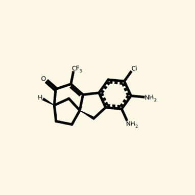 Nc1c(Cl)cc2c(c1N)C[C@@]13CC[C@@H](C1)C(=O)C(C(F)(F)F)=C23